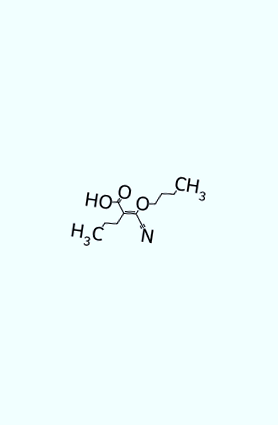 CCCCOC(C#N)=C(CCC)C(=O)O